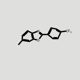 Cc1ccc2nc(-c3ccc(C(F)(F)F)cc3)oc2c1